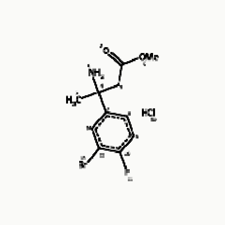 COC(=O)CC(C)(N)c1ccc(F)c(Br)c1.Cl